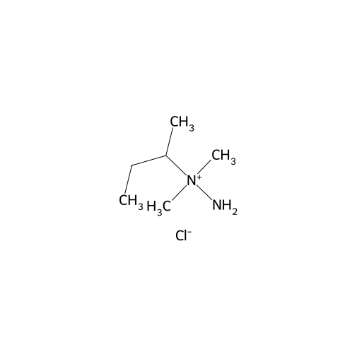 CCC(C)[N+](C)(C)N.[Cl-]